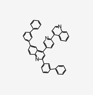 c1ccc(-c2cccc(-c3ccc4nc(-c5cccc(-c6ccccc6)c5)cc(-c5ccc(-c6ccnc7ccccc67)nc5)c4c3)c2)cc1